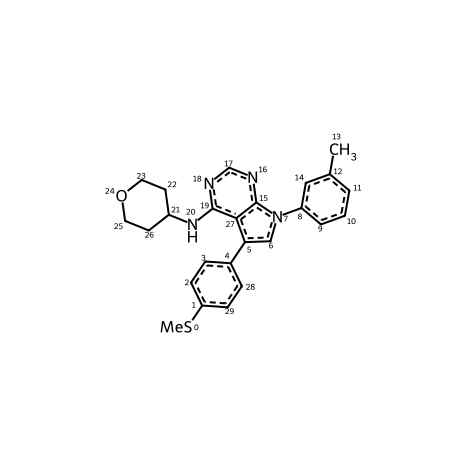 CSc1ccc(-c2cn(-c3cccc(C)c3)c3ncnc(NC4CCOCC4)c23)cc1